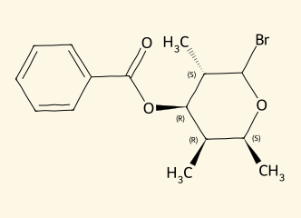 C[C@H]1[C@@H](OC(=O)c2ccccc2)[C@H](C)C(Br)O[C@H]1C